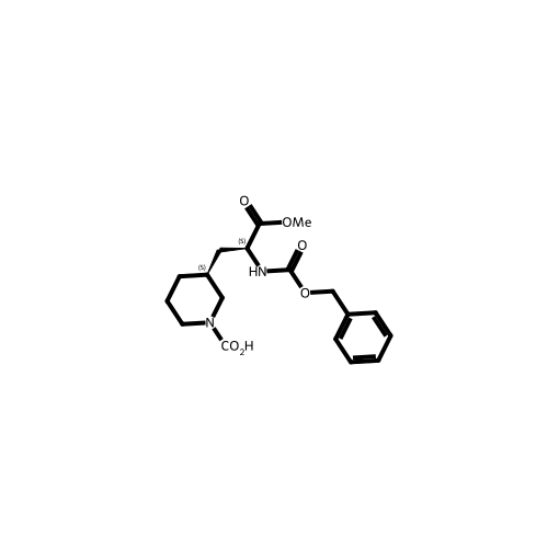 COC(=O)[C@H](C[C@@H]1CCCN(C(=O)O)C1)NC(=O)OCc1ccccc1